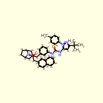 Cc1ccc(-n2nc(C(C)(C)C)cc2NC(=O)Nc2cccc(CC3CC4CCC(C3)N4C(=O)Cc3ccc4ccccc4c3)c2)cc1